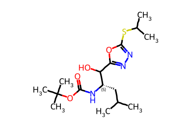 CC(C)C[C@H](NC(=O)OC(C)(C)C)C(O)c1nnc(SC(C)C)o1